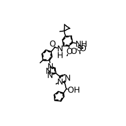 COc1c(NC(=O)c2ccc(C)c(-n3cc(-c4cnc(C(O)c5ccccc5)n4C)nn3)c2)cc(C2(C)CC2)cc1NS(C)(=O)=O